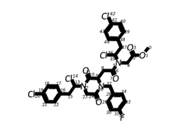 COC(=O)CN(C(=O)CC1C(=O)N(C(Cl)Cc2ccc(Cl)cc2)CC(=O)N1Cc1ccc(F)cc1)C(Cl)Cc1ccc(Cl)cc1